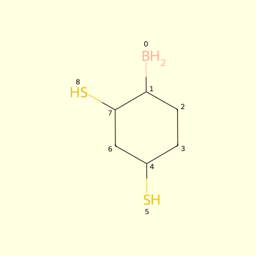 BC1CCC(S)CC1S